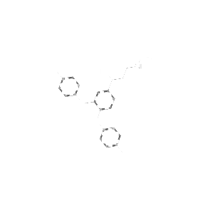 Cc1ccc(Oc2ccc(C(O)CCNC(C)(C)C)cc2Oc2ccc(C)cc2)cc1